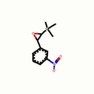 C[Si](C)(C)C1OC1c1cccc([N+](=O)[O-])c1